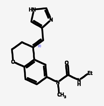 CCNC(=O)N(C)c1ccc2c(c1)/C(=C/c1c[nH]cn1)CCO2